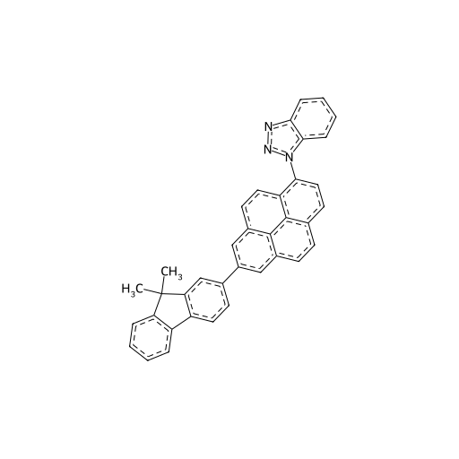 CC1(C)c2ccccc2-c2ccc(-c3cc4ccc5ccc(-n6nnc7ccccc76)c6ccc(c3)c4c56)cc21